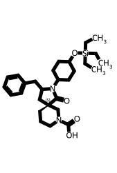 CC[Si](CC)(CC)OC1CCC(N2C(=O)[C@@]3(CCCN(C(=O)O)C3)CC2Cc2ccccc2)CC1